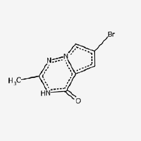 Cc1nn2cc(Br)cc2c(=O)[nH]1